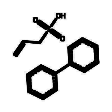 C=CCS(=O)(=O)O.c1ccc(-c2ccccc2)cc1